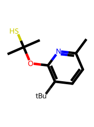 Cc1ccc(C(C)(C)C)c(OC(C)(C)S)n1